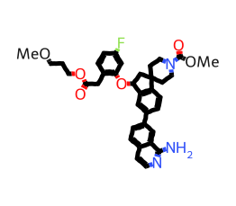 COCCCOC(=O)Cc1ccc(F)cc1OC1CC2(CCN(C(=O)OC)CC2)c2ccc(-c3ccc4ccnc(N)c4c3)cc21